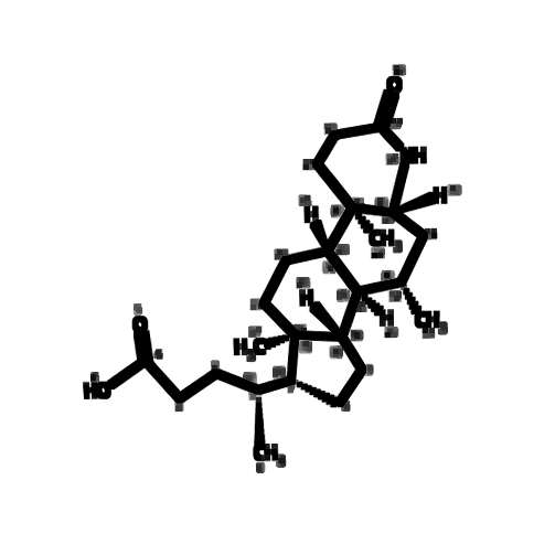 C[C@H](CCC(=O)O)[C@H]1CC[C@H]2[C@@H]3[C@@H](C)C[C@H]4NC(=O)CC[C@]4(C)[C@H]3CC[C@]12C